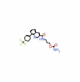 NC(=O)OCCCNC(=O)c1cnc2c(C3=CC[C@@H](C(F)(F)F)CC3)cccc2c1